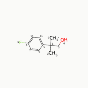 [CH2]C(C)(CO)c1ccc(F)cc1